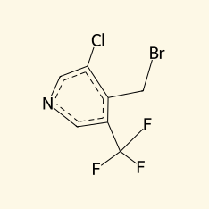 FC(F)(F)c1cncc(Cl)c1CBr